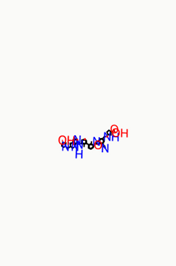 Cc1c(Nc2nccc3c2=NCC(CN2CC[C@@H](O)C2)C=3)cccc1-c1cccc(-c2nc3cc(CN[C@H]4CC[C@@H](C(=O)O)C4)cc(C#N)c3o2)c1C